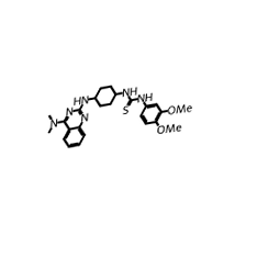 COc1ccc(NC(=S)NC2CCC(Nc3nc(N(C)C)c4ccccc4n3)CC2)cc1OC